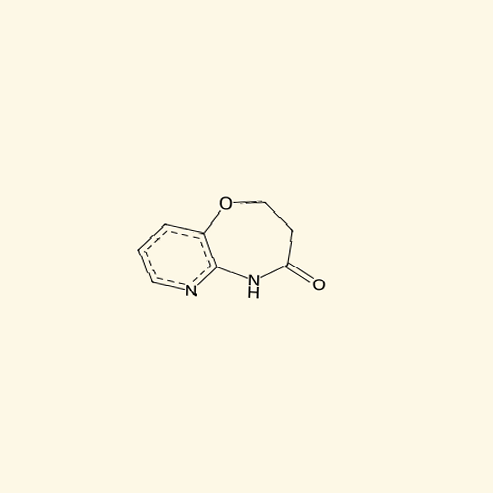 O=C1CCOc2cccnc2N1